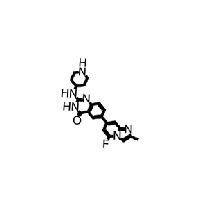 Cc1cn2c(F)cc(-c3ccc4nc(NC5CCNCC5)[nH]c(=O)c4c3)cc2n1